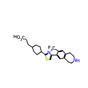 O=C(O)CCC1CCC(c2nc(-c3cc4c(cc3C(F)(F)F)CCNCC4)cs2)CC1